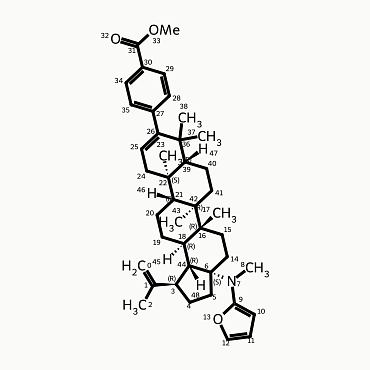 C=C(C)[C@@H]1CC[C@]2(N(C)c3ccco3)CC[C@]3(C)[C@H](CC[C@@H]4[C@@]5(C)CC=C(c6ccc(C(=O)OC)cc6)C(C)(C)[C@@H]5CC[C@]43C)[C@@H]12